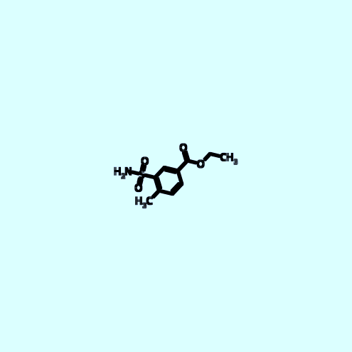 CCOC(=O)c1ccc(C)c(S(N)(=O)=O)c1